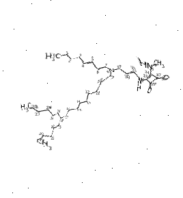 CCCCCCCCN(CCCCCCCCCC(CCCCC)CCCCC)CCCNc1c(NC)c(=O)c1=O